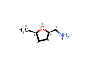 C[C@@H]1CC[C@H](CN)O1